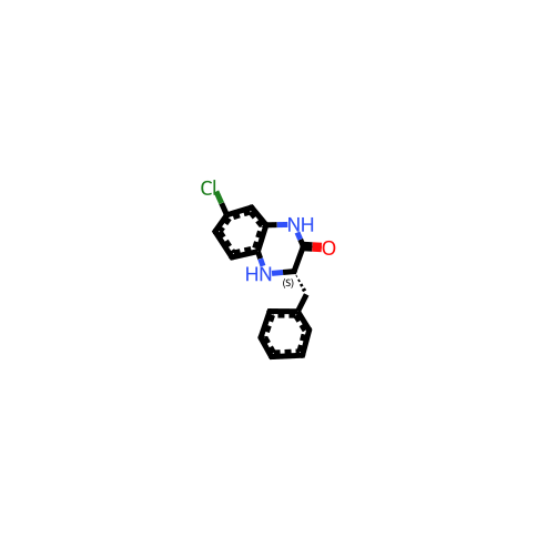 O=C1Nc2cc(Cl)ccc2N[C@H]1Cc1ccccc1